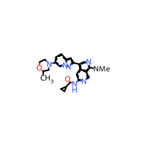 CNc1ncc(-c2cc3ccc(N4CCOC(C)C4)cn3n2)c2cc(NC(=O)C3CC3)ncc12